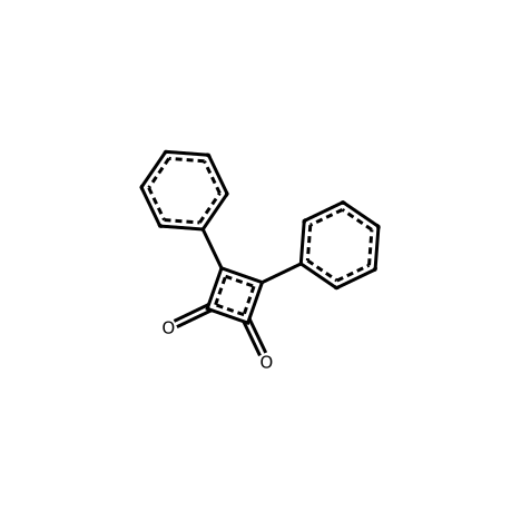 O=c1c(-c2ccccc2)c(-c2ccccc2)c1=O